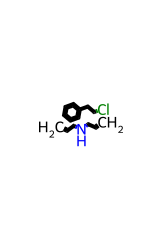 C=CCNCC=C.ClCCc1ccccc1